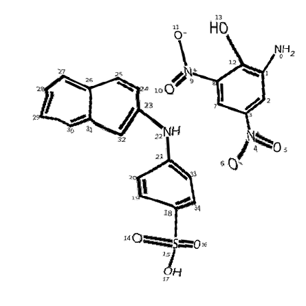 Nc1cc([N+](=O)[O-])cc([N+](=O)[O-])c1O.O=S(=O)(O)c1ccc(Nc2ccc3ccccc3c2)cc1